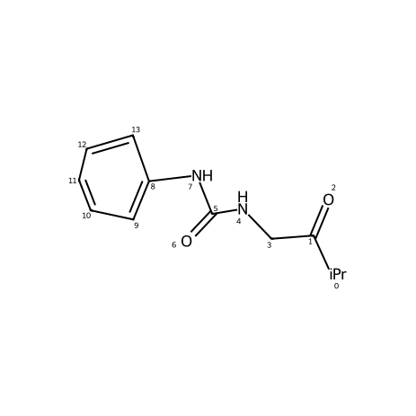 CC(C)C(=O)CNC(=O)Nc1ccccc1